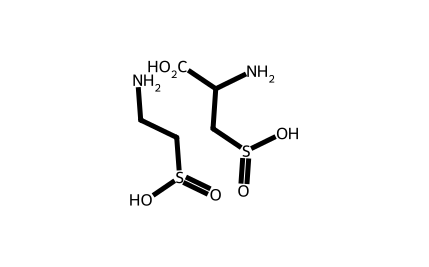 NC(CS(=O)O)C(=O)O.NCCS(=O)O